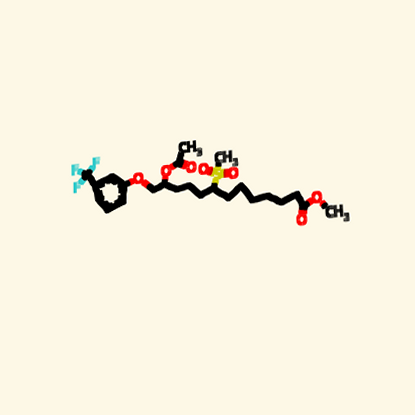 COC(=O)CCCCCCC(CCCC(COc1cccc(C(F)(F)F)c1)OC(C)=O)S(C)(=O)=O